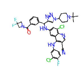 CC(C)(C)N1CCC(n2cc(C(Nc3cc(Cl)c4ncc(C#N)c(Nc5ccc(F)c(Cl)c5)c4c3)c3cccc(C(=O)N4CC(F)(F)C4)c3)nn2)CC1